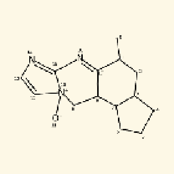 CC1CC2CCCC2C2C[N+]3([O-])C=CN=C3N=C12